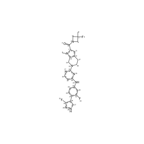 Cn1c(C(=O)N2CC(C)(F)C2)cc2c1CN(c1nccc(Nc3ccc(-c4c[nH]nc4F)c(F)c3)n1)CC2